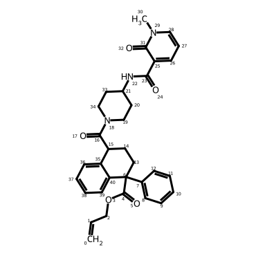 C=CCOC(=O)C1(c2ccccc2)CCC(C(=O)N2CCC(NC(=O)c3cccn(C)c3=O)CC2)c2ccccc21